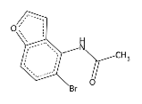 CC(=O)Nc1c(Br)ccc2occc12